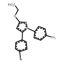 CCOC(=O)COc1cc(-c2ccc(Br)cc2)n(-c2ccc(C)cc2)n1